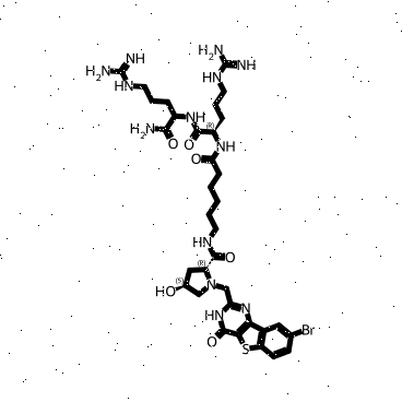 N=C(N)NCCCC(NC(=O)[C@@H](CCCNC(=N)N)NC(=O)CCCCCNC(=O)[C@H]1C[C@H](O)CN1Cc1nc2c(sc3ccc(Br)cc32)c(=O)[nH]1)C(N)=O